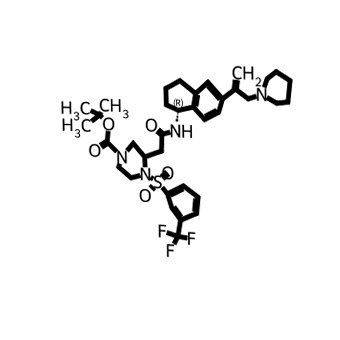 C=C(CN1CCCCC1)c1ccc2c(c1)CCC[C@H]2NC(=O)CC1CN(C(=O)OC(C)(C)C)CCN1S(=O)(=O)c1cccc(C(F)(F)F)c1